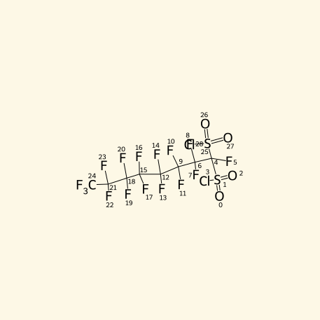 O=S(=O)(Cl)C(F)(C(F)(F)C(F)(F)C(F)(F)C(F)(F)C(F)(F)C(F)(F)C(F)(F)F)S(=O)(=O)Cl